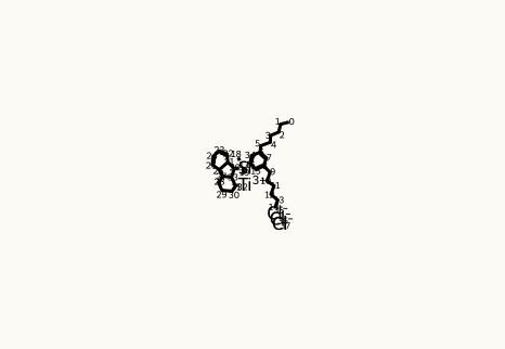 CCCCCCc1cc(CCCCCC)cc([Si](C)(C)C2C3C=CC=CC3C3CCC[CH]([Ti+3])C32)c1.[Cl-].[Cl-].[Cl-]